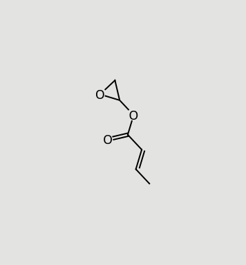 CC=CC(=O)OC1CO1